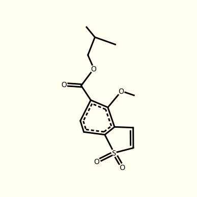 COc1c(C(=O)OCC(C)C)ccc2c1C=CS2(=O)=O